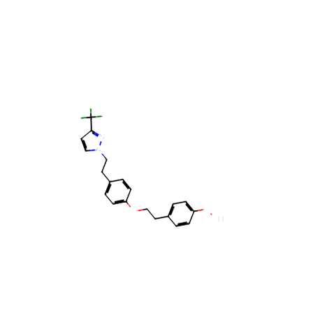 COc1ccc(CCOc2ccc(CCn3ccc(C(F)(F)F)n3)cc2)cc1